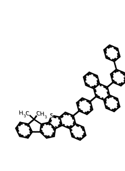 CC1(C)c2ccccc2-c2ccc3c(sc4cc(-c5ccc(-c6c7ccccc7c(-c7cccc(-c8ccccc8)c7)c7ccccc67)cc5)c5ccccc5c43)c21